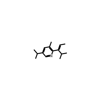 CC=C(c1ncc(C(C)C)cc1C)C(C)C